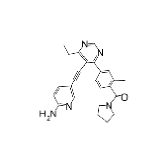 CCc1ncnc(-c2ccc(C(=O)N3CCCC3)c(C)c2)c1C#Cc1ccc(N)nc1